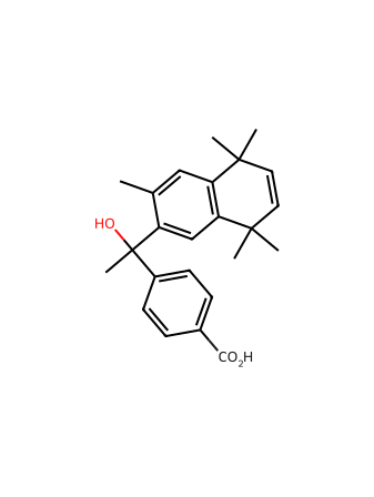 Cc1cc2c(cc1C(C)(O)c1ccc(C(=O)O)cc1)C(C)(C)C=CC2(C)C